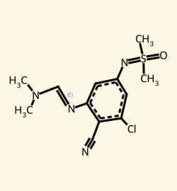 CN(C)/C=N/c1cc(N=S(C)(C)=O)cc(Cl)c1C#N